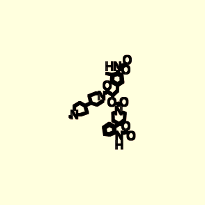 Cc1cc(CC(OC(=O)N2CCC3(CC2)OC(=O)Nc2ccccc23)C(=O)N2CCC(C3CCN(C)CC3)CC2)cc2oc(=O)[nH]c12